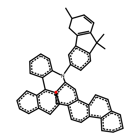 CC1C=CC2=C(C1)c1cc(N(c3ccc4ccc5c6ccccc6ccc5c4c3)c3ccccc3-c3cccc4ccccc34)ccc1C2(C)C